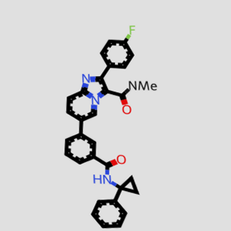 CNC(=O)c1c(-c2ccc(F)cc2)nc2ccc(-c3cccc(C(=O)NC4(c5ccccc5)CC4)c3)cn12